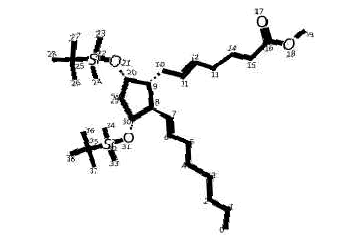 CCCCCC/C=C/[C@@H]1[C@@H](C/C=C/CCCC(=O)OC)[C@@H](O[Si](C)(C)C(C)(C)C)C[C@H]1O[Si](C)(C)C(C)(C)C